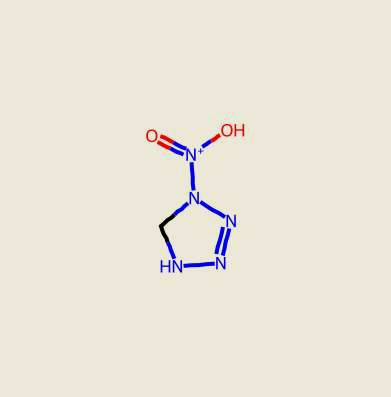 O=[N+](O)N1CNN=N1